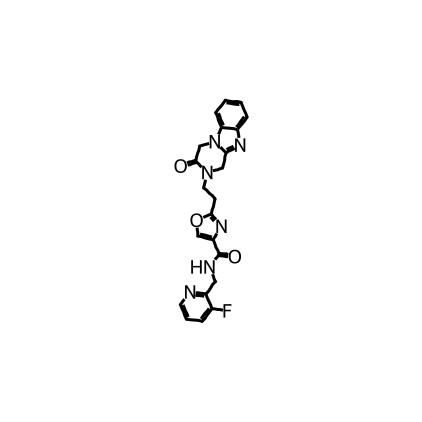 O=C(NCc1ncccc1F)c1coc(CCN2Cc3nc4ccccc4n3CC2=O)n1